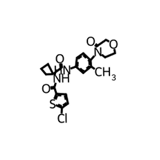 Cc1cc(NC(=O)C2(NC(=O)c3ccc(Cl)s3)CCC2)ccc1N1CCOCC1=O